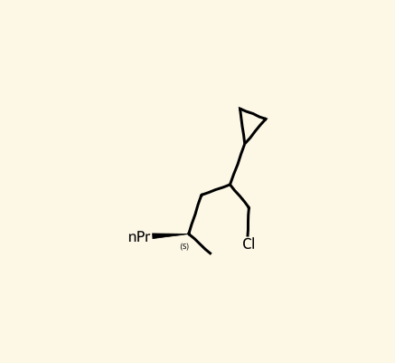 CCC[C@H](C)CC(CCl)C1CC1